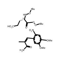 CC(C)(C)ON[C@@H](CCC(=O)O)C(=O)OOC(C)(C)C.COc1cc(C=C(C)C(N)=O)c([N+](=O)[O-])cc1OC